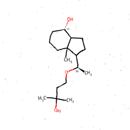 C[C@@H](OCCC(C)(C)O)C1CCC2[C@@H](O)CCCC21C